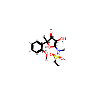 CCS(=O)(=O)N(C)C1=C(O)C(=O)C(C)(c2ccccc2OC)O1